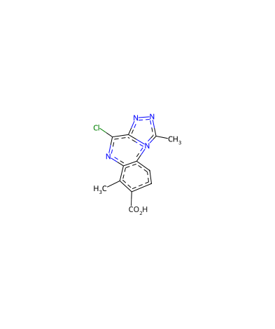 Cc1c(C(=O)O)ccc2c1nc(Cl)c1nnc(C)n12